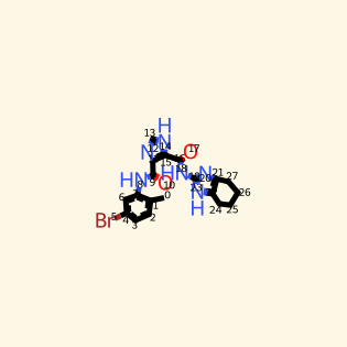 Cc1ccc(Br)cc1NC(=O)c1nc[nH]c1C(=O)Nc1nc2c([nH]1)CCCC2